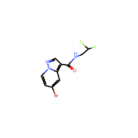 O=C(NCC(F)F)c1cnn2ccc(Br)cc12